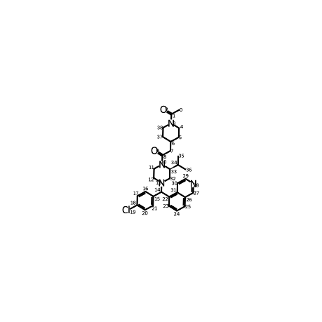 CC(=O)N1CCC(CC(=O)N2CCN(C(c3ccc(Cl)cc3)c3cccc4cnccc34)C[C@@H]2C(C)C)CC1